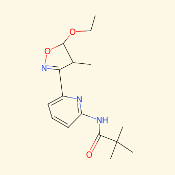 CCOC1ON=C(c2cccc(NC(=O)C(C)(C)C)n2)C1C